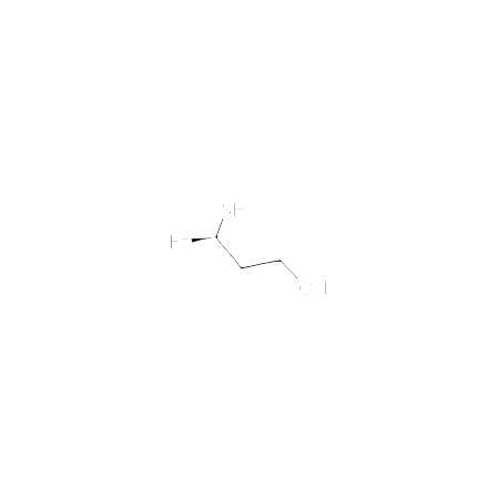 CC[C@@H](S)CCO